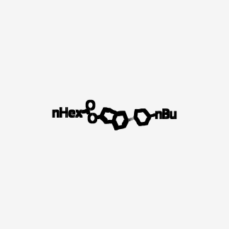 CCCCCCC(=O)Oc1ccc2cc([C@H]3CC[C@H](CCCC)CC3)ccc2c1